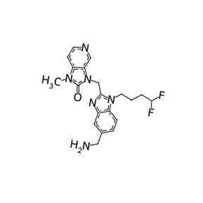 Cn1c(=O)n(Cc2nc3cc(CN)ccc3n2CCCC(F)F)c2cnccc21